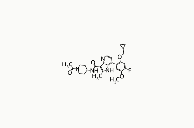 COc1cc(-c2ccnc3c(C(=O)NC4CCN(C(C)=O)CC4)c(C)[nH]c23)c(OCC2CC2)cc1F